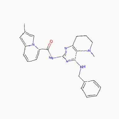 Cc1cc2cccc(C(=O)Nc3nc4c(c(NCc5ccccc5)n3)N(C)CCC4)n2c1